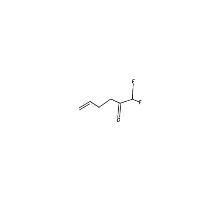 C=CCCC(=O)C(F)F